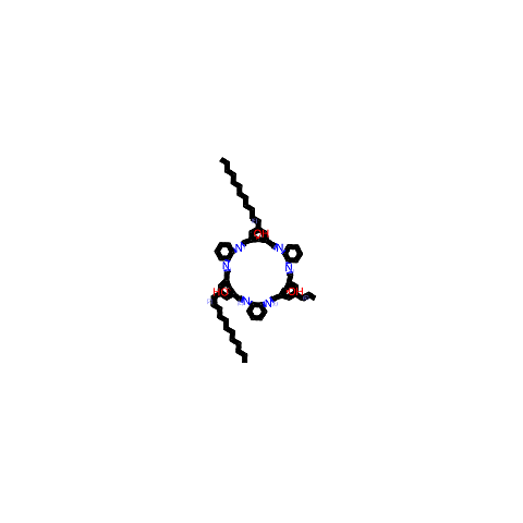 C/C=C/c1cc2c(O)c(c1)/C=N/C1CCCCC1/N=C/c1cc(/C=C/CCCCCCCCCC)cc(c1O)/C=N/C1CCCCC1/N=C/c1cc(/C=C\CCCCCCCCCC)cc(c1O)/C=N/C1CCCCC1/N=C/2